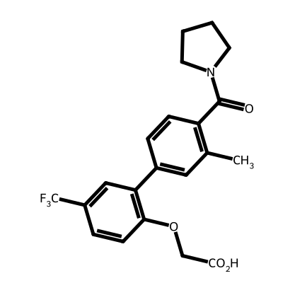 Cc1cc(-c2cc(C(F)(F)F)ccc2OCC(=O)O)ccc1C(=O)N1CCCC1